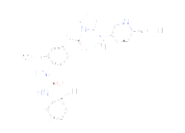 COc1cc(CC(=O)N2CCCC2N(C)c2ccc(C(=O)O)nc2)ccc1NC(=O)Nc1ccccc1C